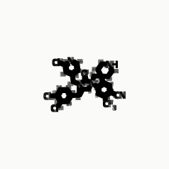 N#Cc1cc2c(cc1C(F)(F)F)[N+](C/C=C/c1ccc(Cl)c(Cl)c1)(C(=O)NCc1ccnc(Cl)c1)CC21CCNCC1